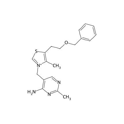 Cc1ncc(C[n+]2csc(CCOCc3ccccc3)c2C)c(N)n1